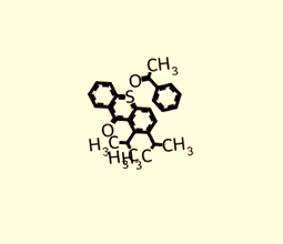 CC(=O)c1ccccc1.CC(C)c1ccc2sc3ccccc3c(=O)c2c1C(C)C